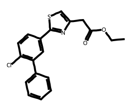 CCOC(=O)Cc1csc(-c2ccc(Cl)c(-c3ccccc3)c2)n1